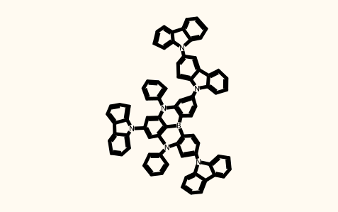 c1ccc(N2c3cc(-n4c5ccccc5c5ccccc54)ccc3B3c4ccc(-n5c6ccccc6c6cc(-n7c8ccccc8c8ccccc87)ccc65)cc4N(c4ccccc4)c4cc(-n5c6ccccc6c6ccccc65)cc2c43)cc1